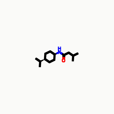 CC(C)CC(=O)N[C@H]1CC[C@H](C(C)C)CC1